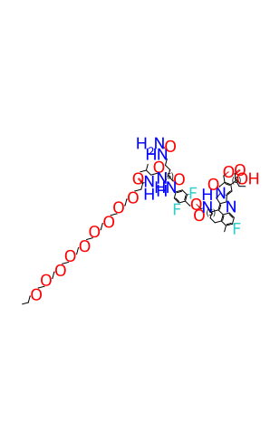 CCCOCCOCCOCCOCCOCCOCCOCCOCCOCCC(=O)NC(C(=O)N[C@@H](CCCNC(N)=O)C(=O)Nc1cc(F)c(COC(=O)N[C@H]2CCc3c(C)c(F)cc4nc5c(c2c34)Cn2c-5cc3c(c2=O)COC(=O)[C@]3(O)CC)c(F)c1)C(C)C